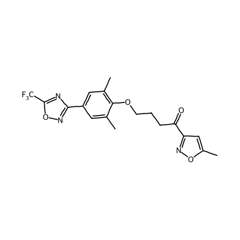 Cc1cc(C(=O)CCCOc2c(C)cc(-c3noc(C(F)(F)F)n3)cc2C)no1